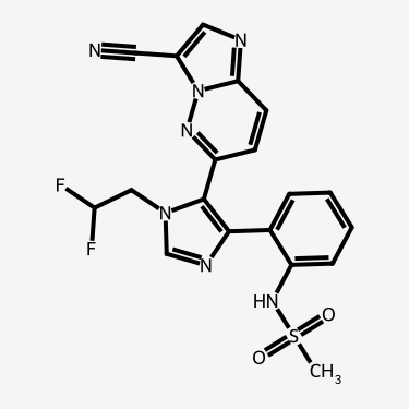 CS(=O)(=O)Nc1ccccc1-c1ncn(CC(F)F)c1-c1ccc2ncc(C#N)n2n1